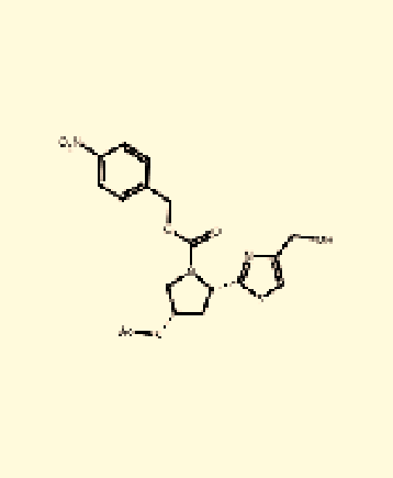 CC(=O)S[C@H]1C[C@@H](c2nc(CO)cs2)N(C(=O)OCc2ccc([N+](=O)[O-])cc2)C1